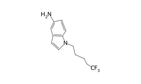 Nc1ccc2c(ccn2CCCCC(F)(F)F)c1